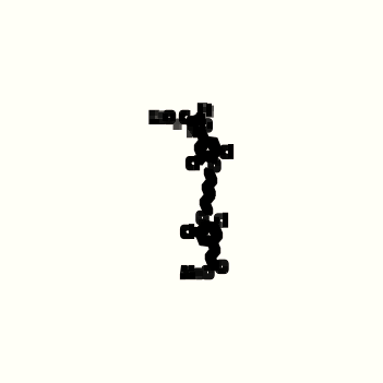 CCOC(=O)c1nc(-c2cc(Cl)c(OCC/C=C/CCOc3c(Cl)cc(CCC(=O)OC)cc3Cl)c(Cl)c2)oc1CC